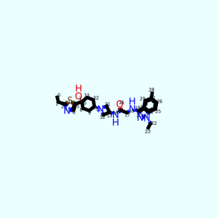 CCc1ncc([C@]2(O)CC[C@H](N3CC(NC(=O)CNc4nn(CC)c5ccc(C)cc45)C3)CC2)s1